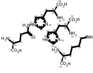 NC(=O)CC[C@H](N)C(=O)O.NCCCC[C@H](N)C(=O)O.N[C@@H](Cc1c[nH]cn1)C(=O)O.N[C@@H](Cc1c[nH]cn1)C(=O)O